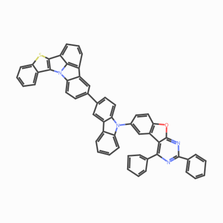 c1ccc(-c2nc(-c3ccccc3)c3c(n2)oc2ccc(-n4c5ccccc5c5cc(-c6ccc7c(c6)c6cccc8c9sc%10ccccc%10c9n7c68)ccc54)cc23)cc1